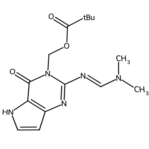 CN(C)C=Nc1nc2cc[nH]c2c(=O)n1COC(=O)C(C)(C)C